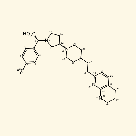 O=C(O)[C@H](c1ccc(C(F)(F)F)cc1)N1CC[C@@H](N2CCC(CCc3ccc4c(n3)NCCC4)CC2)C1